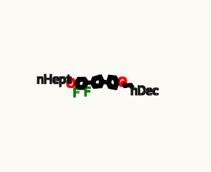 CCCCCCCCCCCCOc1ccc(-c2ccc(-c3ccc(OCCCCCCC)c(F)c3F)cc2)cc1